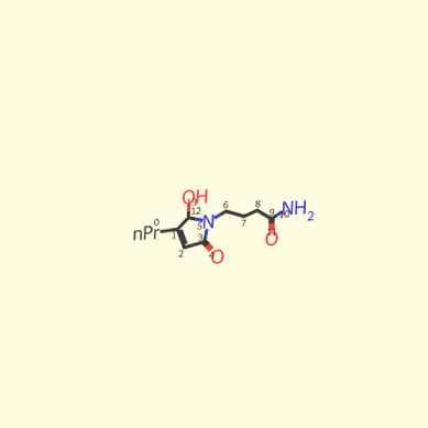 CCCC1=CC(=O)N(CCCC(N)=O)C1O